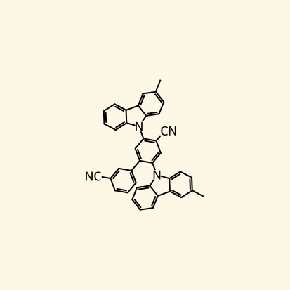 Cc1ccc2c(c1)c1ccccc1n2-c1cc(-c2cccc(C#N)c2)c(-n2c3ccccc3c3cc(C)ccc32)cc1C#N